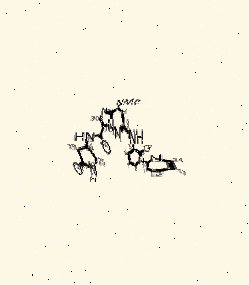 CNc1cc(Nc2cccn(-c3ccccn3)c2=O)nn2c(C(=O)NC3CNC(=O)C3)cnc12